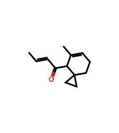 CC=CC(=O)C1C(C)=CCCC12CC2